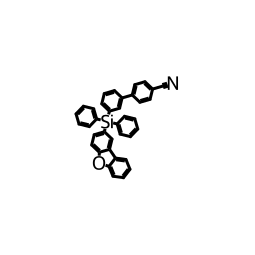 N#Cc1ccc(-c2cccc([Si](c3ccccc3)(c3ccccc3)c3ccc4oc5ccccc5c4c3)c2)cc1